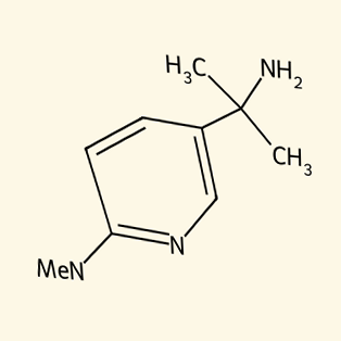 CNc1ccc(C(C)(C)N)cn1